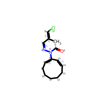 CC(/C=N\N(C=O)C1=C/CCCCC/C=C\1)=C\Cl